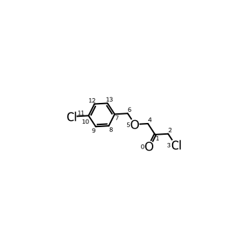 O=C(CCl)COCc1ccc(Cl)cc1